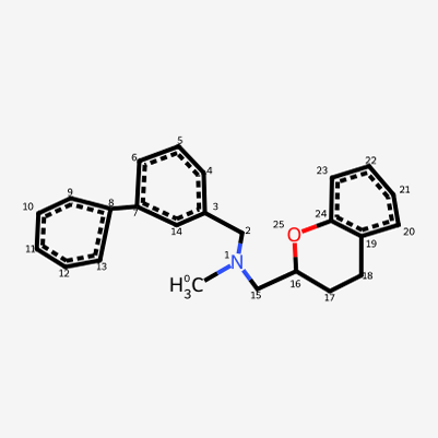 CN(Cc1cccc(-c2ccccc2)c1)CC1CCc2ccccc2O1